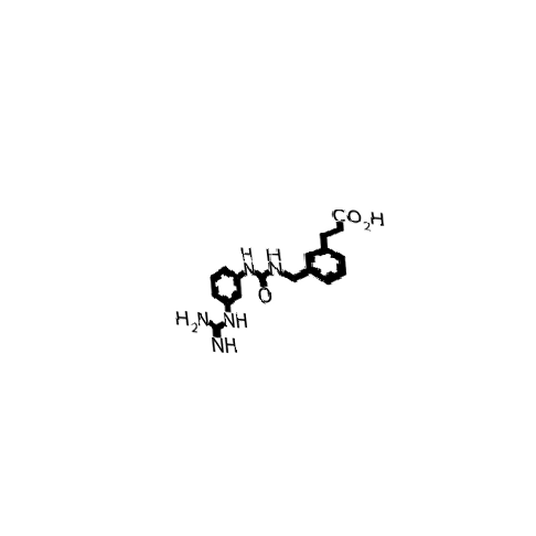 N=C(N)Nc1cccc(NC(=O)NCc2cccc(CCC(=O)O)c2)c1